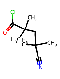 CC(C)(C#N)CC(C)(C)C(=O)Cl